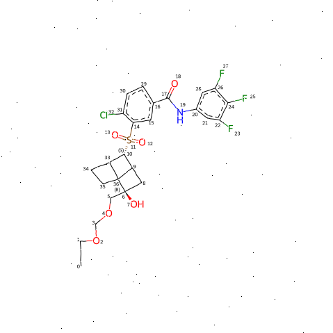 CCOCOC[C@@]1(O)CC2[C@@H](S(=O)(=O)c3cc(C(=O)Nc4cc(F)c(F)c(F)c4)ccc3Cl)C3CCC321